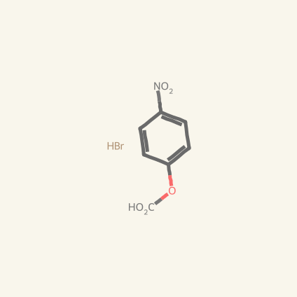 Br.O=C(O)Oc1ccc([N+](=O)[O-])cc1